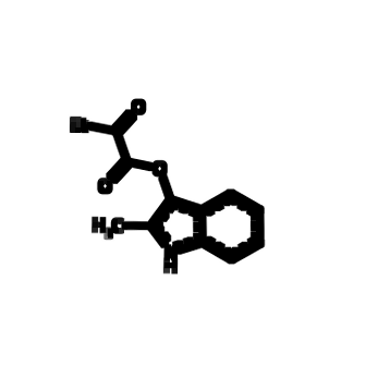 CCC(=O)C(=O)Oc1c(C)[nH]c2ccccc12